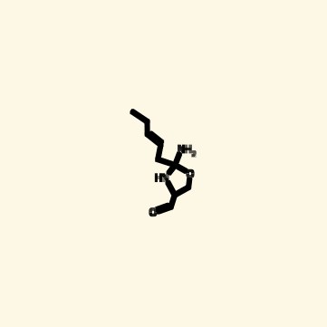 CCC=CCC1(N)NC(C=O)CO1